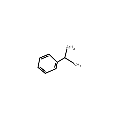 CC([AsH2])c1ccccc1